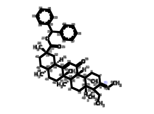 CC[C@]1(C)/C(=N/C)CC[C@@]2(C)[C@H]1CC[C@]1(C)[C@@H]2C(=O)C=C2[C@@H]3C[C@@](C)(C(=O)OC(c4ccccc4)c4ccccc4)CC[C@]3(C)CC[C@]21C